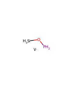 [SiH3]OP.[V]